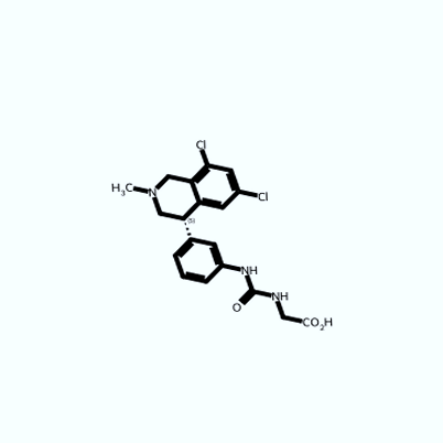 CN1Cc2c(Cl)cc(Cl)cc2[C@H](c2cccc(NC(=O)NCC(=O)O)c2)C1